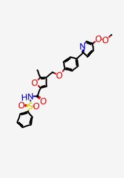 COOc1ccc(-c2ccc(OCc3cc(C(=O)NS(=O)(=O)c4ccccc4)oc3C)cc2)nc1